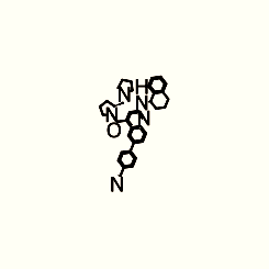 N#Cc1ccc(-c2ccc3nc(N[C@H]4CCCc5ccccc54)cc(C(=O)N4CCC[C@H]4CN4CCCC4)c3c2)cc1